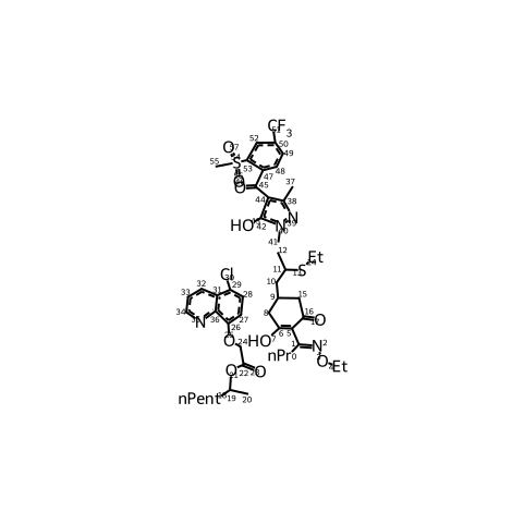 CCCC(=NOCC)C1=C(O)CC(CC(C)SCC)CC1=O.CCCCCC(C)OC(=O)COc1ccc(Cl)c2cccnc12.Cc1nn(C)c(O)c1C(=O)c1ccc(C(F)(F)F)cc1S(C)(=O)=O